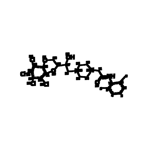 Cc1cccc(C)c1NC(=O)CN1CCN(CC(O)C2COc3c(Cl)c(Cl)c(Cl)c(Cl)c3O2)CC1